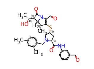 Cc1ccc(CN2C[C@@H](SC3=C(C=O)N4C(=O)[C@H]([C@@H](C)O)[C@H]4[C@H]3C)C[C@H]2C(=O)Nc2cccc(C=O)c2)c(C)c1